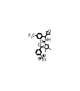 CCS(=O)(=O)c1cccc(C(=O)N2[C@@H](C(=O)NC(c3ccc(C(F)(F)F)cc3)C3COC3)C[C@@H](C)[C@H]2C)c1